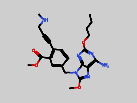 CCCCOc1nc(N)c2nc(OC)n(Cc3ccc(C#CCNC)c(C(=O)OC)c3)c2n1